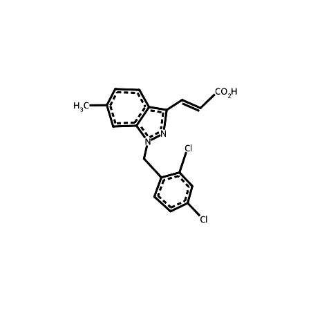 Cc1ccc2c(C=CC(=O)O)nn(Cc3ccc(Cl)cc3Cl)c2c1